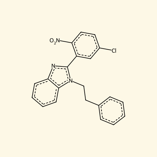 O=[N+]([O-])c1ccc(Cl)cc1-c1nc2ccccc2n1CCc1ccccc1